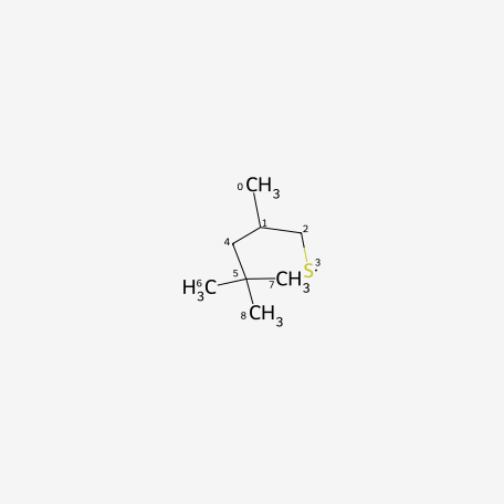 CC(C[S])CC(C)(C)C